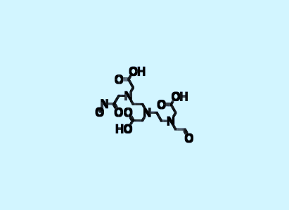 O=CCN(CCN(CCN(CC(=O)O)CC(=O)N=O)CC(=O)O)CC(=O)O